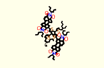 CCCCC(CC)Cc1ccc(-c2c3cc(-c4cc5c6ccc7c8c(ccc(c9ccc%10c(c4C(=O)N(C(CCC)CCC)C%10=O)c95)c86)C(=O)N(C(CCC)CCC)C7=O)sc3c(-c3ccc(CC(CC)CCCC)s3)c3cc(-c4cc5c6ccc7c8c(ccc(c9ccc%10c(c4C(=O)N(C(CCC)CCC)C%10=O)c95)c86)C(=O)N(C(CCC)CCC)C7=O)sc23)s1